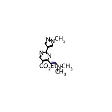 CCOC(=O)c1cnc(-c2cnn(C)c2)nc1/C=C/N(C)C